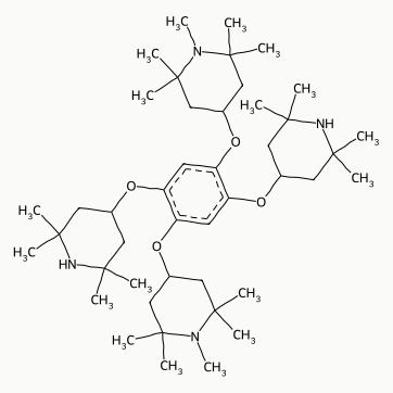 CN1C(C)(C)CC(Oc2cc(OC3CC(C)(C)NC(C)(C)C3)c(OC3CC(C)(C)N(C)C(C)(C)C3)cc2OC2CC(C)(C)NC(C)(C)C2)CC1(C)C